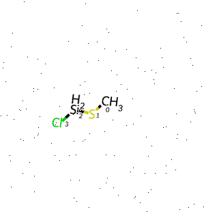 CS[SiH2]Cl